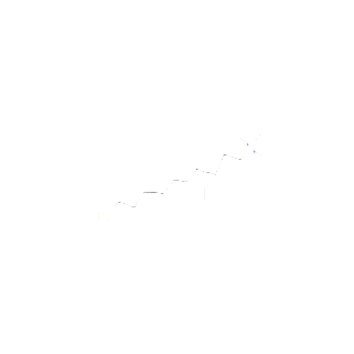 C[N+](C)(C)CCCCCCCCCCS.[Cl-]